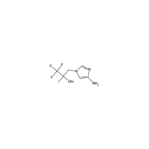 CC(O)(Cn1cnc(N)c1)C(F)(F)F